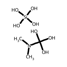 CN(C)C(O)(O)O.O[Si](O)(O)O